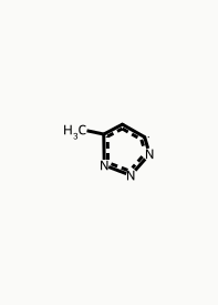 Cc1c[c]nnn1